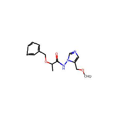 CC(OCc1ccccc1)C(=O)Nn1cncc1COC=O